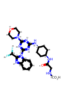 O=C(O)NCC(=O)N[C@H]1CC[C@H](Nc2nc(N3CCOCC3)nc(-n3c(C(F)F)nc4ccccc43)n2)CC1